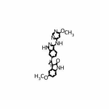 COc1ccc2c(c1)[C@]1(C[C@H]1c1ccc3c(Nc4cc(OC)ncn4)n[nH]c3c1)C(=O)N2